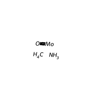 C.N.[O]=[Mo]